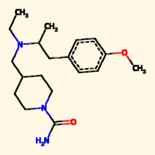 CCN(CC1CCN(C(N)=O)CC1)C(C)Cc1ccc(OC)cc1